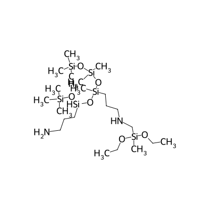 CCO[Si](C)(CNCCC[Si](C)(O[SiH](CCCN)O[Si](C)(C)C)O[Si](C)(C)O[Si](C)(C)C)OCC